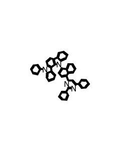 c1ccc(-c2cc(-c3ccc(-n4c5ccccc5c5ccc6c(c7ccccc7n6-c6ccccc6)c54)c4ccccc34)nc(-c3ccccc3)n2)cc1